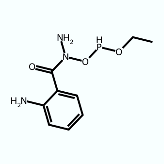 CCOPON(N)C(=O)c1ccccc1N